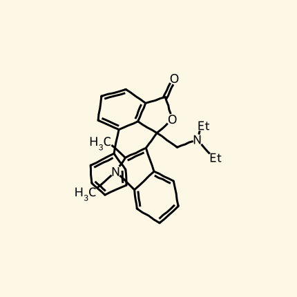 CCN(CC)CC1(c2c(C)n(C)c3ccccc23)OC(=O)c2cccc(-c3ccccc3)c21